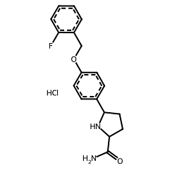 Cl.NC(=O)C1CCC(c2ccc(OCc3ccccc3F)cc2)N1